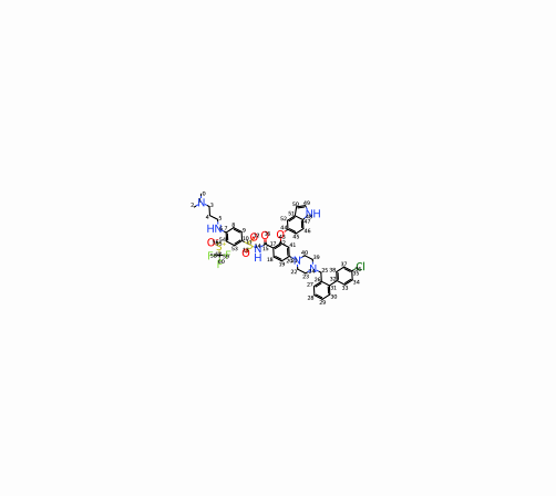 CN(C)CCCNc1ccc(S(=O)(=O)NC(=O)c2ccc(N3CCN(Cc4ccccc4-c4ccc(Cl)cc4)CC3)cc2Oc2ccc3[nH]ccc3c2)cc1[S+]([O-])C(F)(F)F